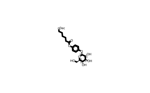 CCCCCCCCCCCCCCCC(=O)Oc1ccc(O[C@@H]2O[C@H](CO)[C@@H](O)[C@H](O)[C@H]2O)cc1